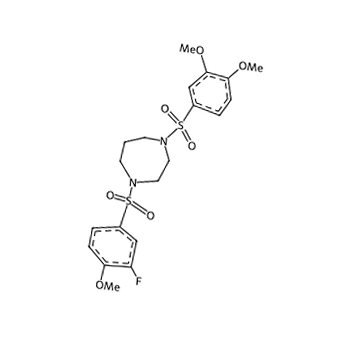 COc1ccc(S(=O)(=O)N2CCCN(S(=O)(=O)c3ccc(OC)c(OC)c3)CC2)cc1F